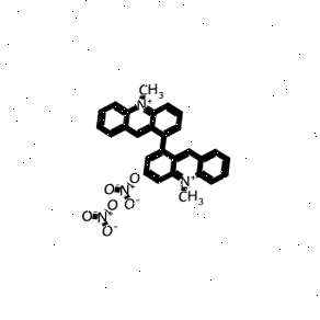 C[n+]1c2ccccc2cc2c(-c3cccc4c3cc3ccccc3[n+]4C)cccc21.O=[N+]([O-])[O-].O=[N+]([O-])[O-]